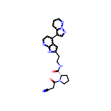 N#CCC(=O)N1CCC[C@H]1C(=O)NCCc1cc2c(-c3cnn4ncccc34)ccnc2[nH]1